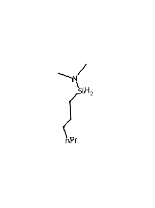 CCCCCC[SiH2]N(C)C